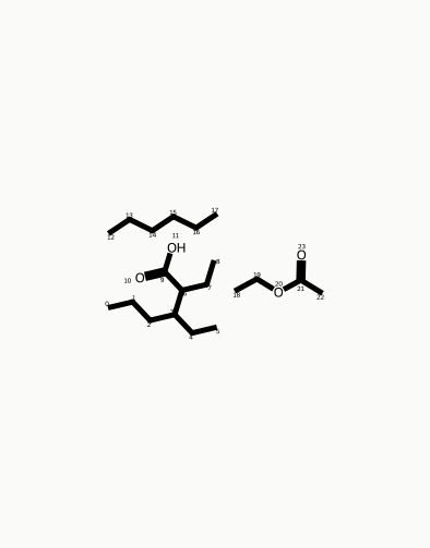 CCCC(CC)C(CC)C(=O)O.CCCCCC.CCOC(C)=O